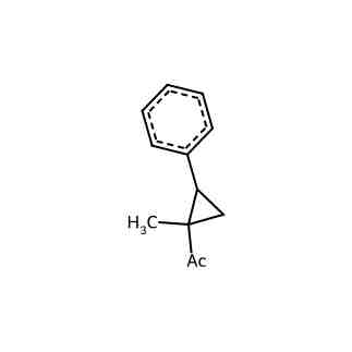 CC(=O)C1(C)CC1c1ccccc1